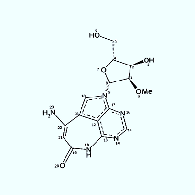 CO[C@@H]1[C@H](O)[C@@H](CO)O[C@H]1n1cc2c3c(ncnc31)NC(=O)C=C2N